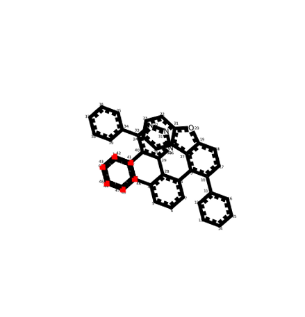 c1ccc(-c2cccc(-c3c(-c4ccccc4)ccc4oc5ccccc5c34)c2-c2nnnc(-c3ccccc3)c2-c2ccccc2)cc1